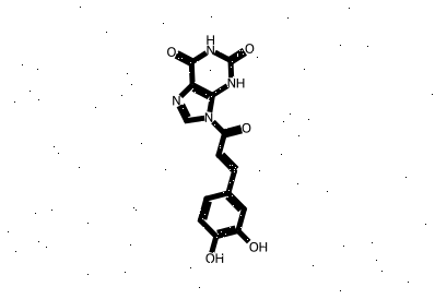 O=C(C=Cc1ccc(O)c(O)c1)n1cnc2c(=O)[nH]c(=O)[nH]c21